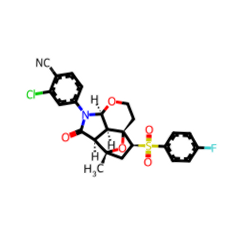 C[C@@]12C[C@H](S(=O)(=O)c3ccc(F)cc3)[C@]3(CCO[C@H]4[C@@H]3[C@@H]1C(=O)N4c1ccc(C#N)c(Cl)c1)O2